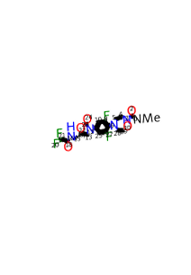 CNC(=O)N1CCN(c2c(F)cc(N3C[C@H](CNC(=O)C(F)F)OC3=O)cc2F)CCO1